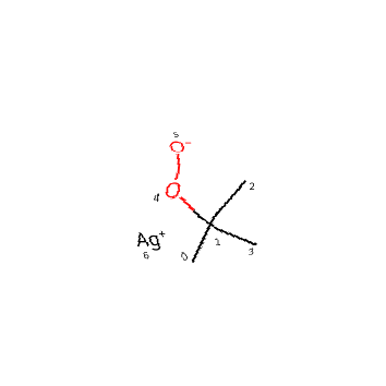 CC(C)(C)O[O-].[Ag+]